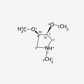 [CH2-][NH+]1C[C@H](OC)[C@H](OC)C1